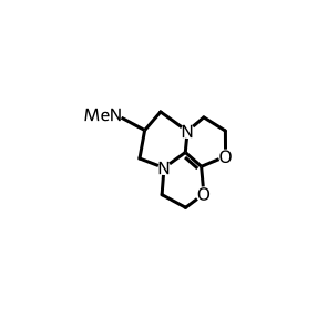 CNC1CN2CCOC3=C2N(CCO3)C1